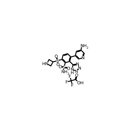 Nc1cncc(-c2ccc(S(=O)(=O)C3CNC3)c(S(N)(=O)=O)c2-c2nnn[nH]2)c1.O=C(O)C(F)(F)F